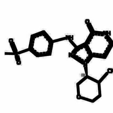 CS(=O)(=O)c1ccc(Nc2nn([C@@H]3COCCC3C#N)c3cc[nH]c(=O)c23)cc1